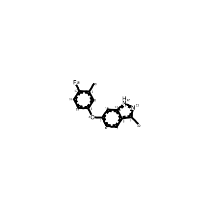 Cc1cc(Oc2ccc3c(C)n[nH]c3c2)ccc1F